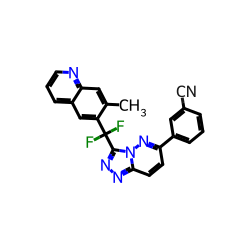 Cc1cc2ncccc2cc1C(F)(F)c1nnc2ccc(-c3cccc(C#N)c3)nn12